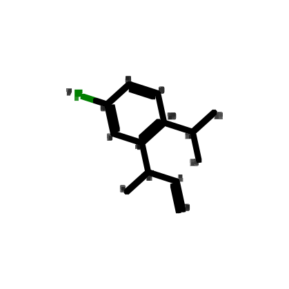 C=C[C](C)c1cc(F)ccc1C(C)C